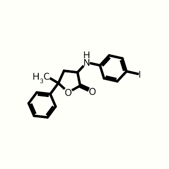 CC1(c2ccccc2)CC(Nc2ccc(I)cc2)C(=O)O1